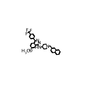 COc1ccc2c(-c3ccc(C(F)(F)F)cc3)nnc(NC3CCN(Cc4ccc5ccccc5c4)CC3)c2c1